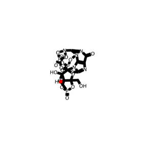 O=c1nc2n3c4c1nc(n4C1(OC4(CO)OP5(=O)OC4(O)C1(O)O5)OP1(=O)ON2O1)OP(=O)(OS)O3